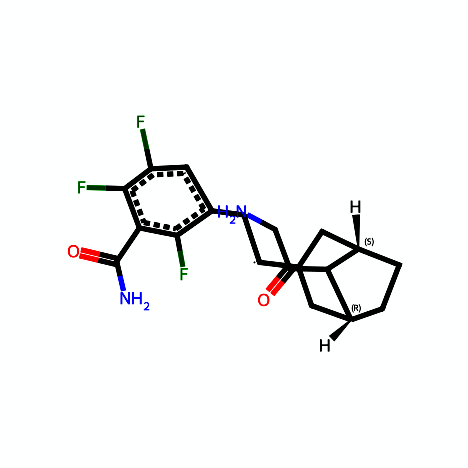 NCC(=O)C1[C@@H]2CC[C@H]1CC([CH]Cc1cc(F)c(F)c(C(N)=O)c1F)C2